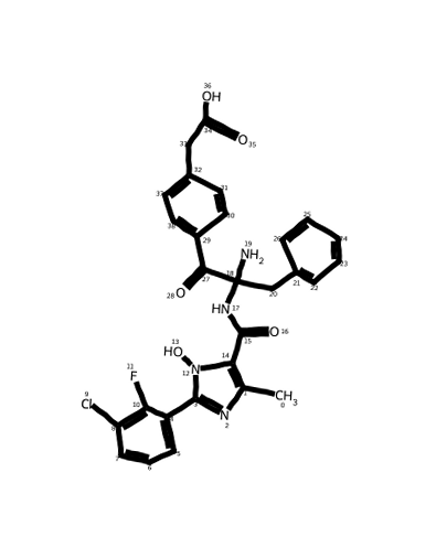 Cc1nc(-c2cccc(Cl)c2F)n(O)c1C(=O)NC(N)(Cc1ccccc1)C(=O)c1ccc(CC(=O)O)cc1